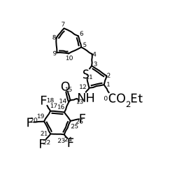 CCOC(=O)c1cc(Cc2ccccc2)sc1NC(=O)c1c(F)c(F)c(F)c(F)c1F